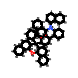 c1ccc(N(c2cccc3ccccc23)c2cccc3ccccc23)c(-c2ccc3c(c2)-c2ccccc2C32c3ccc4ccccc4c3Oc3c2ccc2ccccc32)c1